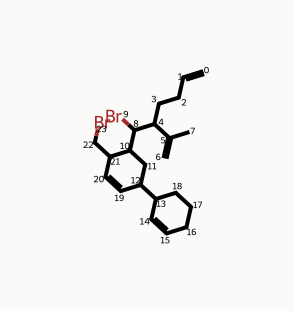 C=CCCC(C(=C)C)C(Br)C1CC(C2C=CCCC2)C=CC1CBr